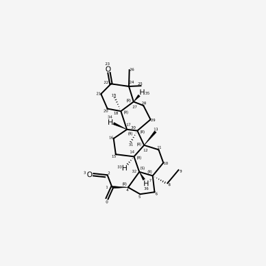 C=C(C=O)[C@@H]1CC[C@]2(CC)CC[C@]3(C)[C@H](CC[C@@H]4[C@@]5(C)CCC(=O)C(C)(C)[C@@H]5CC[C@]43C)[C@@H]12